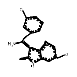 C=c1[nH]c2cc(Cl)ccc2/c1=C(/N)c1cccc(Cl)c1